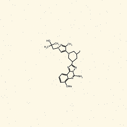 COc1cccc2c1nc(N)n1nc(C3CC(F)CN(c4cn(CC(C)(C)O)nc4C)C3)nc21